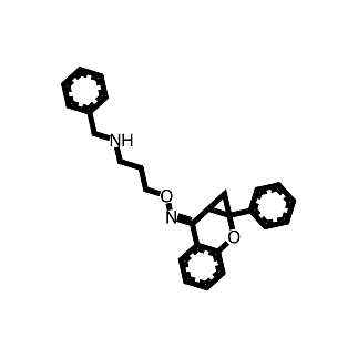 c1ccc(CNCCCON=C2c3ccccc3OC3(c4ccccc4)CC23)cc1